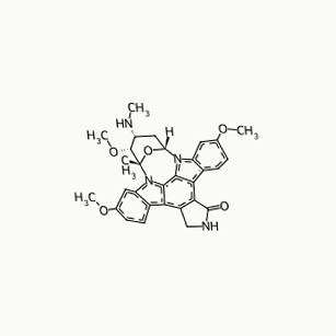 CN[C@@H]1C[C@H]2O[C@@](C)([C@@H]1OC)n1c3cc(OC)ccc3c3c4c(c5c6ccc(OC)cc6n2c5c31)C(=O)NC4